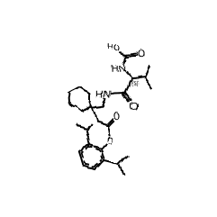 CC(C)c1cccc(C(C)C)c1OC(=O)CC1(CNC(=O)[C@@H](NC(=O)O)C(C)C)CCCCC1